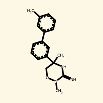 Cc1cccc(-c2cccc(C3(C)CON(C)C(=N)N3)c2)c1